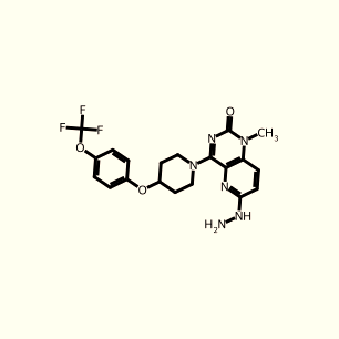 Cn1c(=O)nc(N2CCC(Oc3ccc(OC(F)(F)F)cc3)CC2)c2nc(NN)ccc21